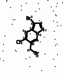 Clc1nc2c(Br)cnn2cc1CBr